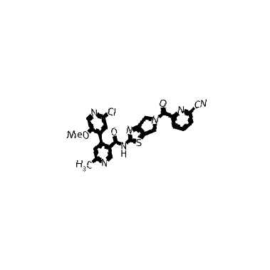 COc1cnc(Cl)cc1-c1cc(C)ncc1C(=O)Nc1nc2c(s1)CN(C(=O)c1cccc(C#N)n1)C2